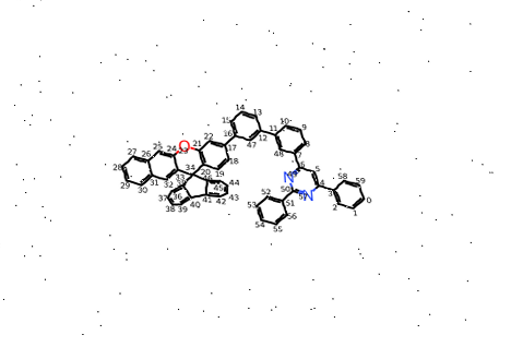 c1ccc(-c2cc(-c3cccc(-c4cccc(-c5ccc6c(c5)Oc5cc7ccccc7cc5C65c6ccccc6-c6ccccc65)c4)c3)nc(-c3ccccc3)n2)cc1